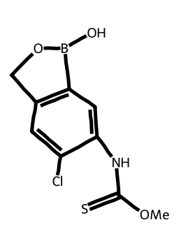 COC(=S)Nc1cc2c(cc1Cl)COB2O